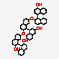 Oc1cc(-c2c(Oc3ccc4ccc(O)c(-c5c(O)ccc6ccccc56)c4c3)ccc3ccc(Oc4ccc5ccccc5c4-c4ccc(O)c5ccccc45)cc23)c2ccccc2c1